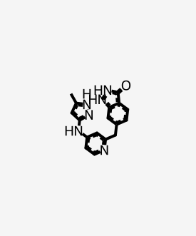 Cc1cc(Nc2ccnc(Cc3ccc4c(=O)[nH][nH]c4c3)c2)n[nH]1